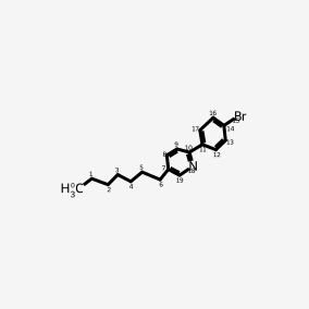 CCCCCCCc1ccc(-c2ccc(Br)cc2)nc1